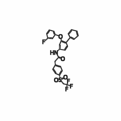 O=C(Cc1ccc(S(=O)(=O)CC(F)(F)F)cc1)Nc1ccc(-c2ccccc2)c(Oc2cccc(F)c2)c1